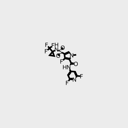 Cn1cc(S(=O)(=O)NC2(C(F)(F)F)CC2)c(F)c1C(=O)Nc1cc(F)nc(F)c1